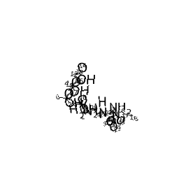 CC(=O)O.CC(=O)O.CC(=O)O.CC(=O)O.CCCN(C(N)CNCCN)[Si](OC)(OC)OC